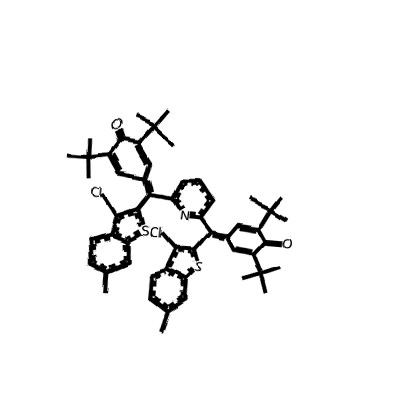 Cc1ccc2c(Cl)c(C(=C3C=C(C(C)(C)C)C(=O)C(C(C)(C)C)=C3)c3cccc(C(=C4C=C(C(C)(C)C)C(=O)C(C(C)(C)C)=C4)c4sc5cc(C)ccc5c4Cl)n3)sc2c1